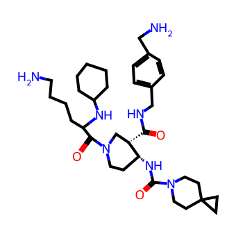 NCCCCC(NC1CCCCC1)C(=O)N1CC[C@@H](NC(=O)N2CCC3(CC2)CC3)[C@@H](C(=O)NCc2ccc(CN)cc2)C1